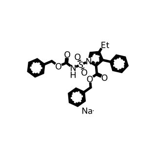 CCc1cn(S(=O)(=O)NC(=O)OCc2ccccc2)c(C(=O)OCc2ccccc2)c1-c1ccccc1.[Na]